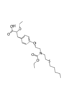 CCCCCSCCN(CCOc1ccc(CC(OCC)C(=O)O)cc1)C(=O)OCC